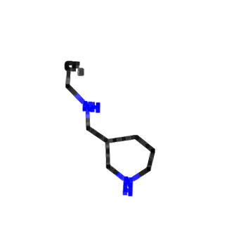 FC(F)(F)CNCC1CCCNC1